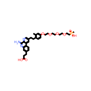 Cc1cc(OCCOCCOCCOCCP(C)(=O)O)ccc1CCc1cnc2c(N)nc3cc(CCC(=O)O)ccc3c2c1